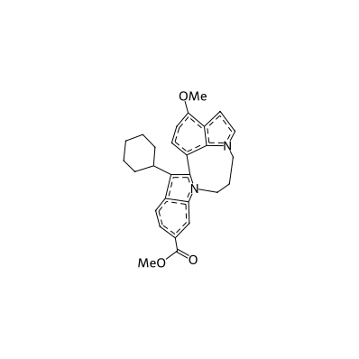 COC(=O)c1ccc2c(C3CCCCC3)c3n(c2c1)CCCn1ccc2c(OC)ccc-3c21